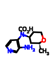 C[C@@H]1C[C@@H](N(C(=O)O)c2ccncc2N)CCO1